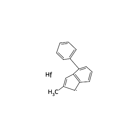 CC1=Cc2c(cccc2-c2ccccc2)[CH]1.[Hf]